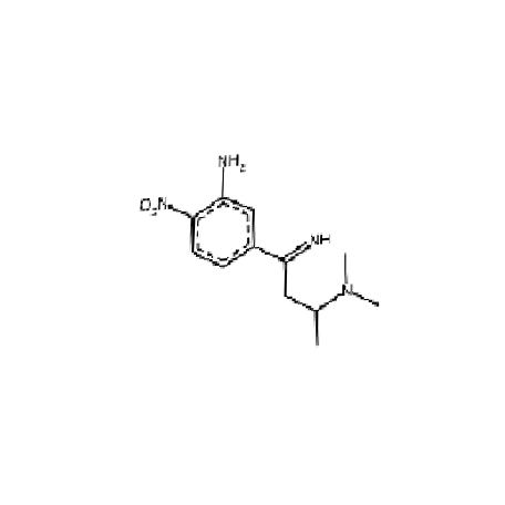 CC(CC(=N)c1ccc([N+](=O)[O-])c(N)c1)N(C)C